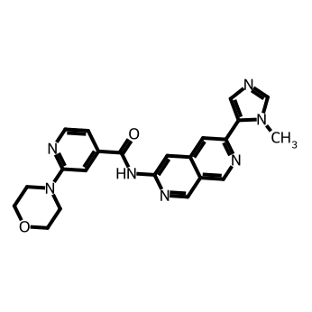 Cn1cncc1-c1cc2cc(NC(=O)c3ccnc(N4CCOCC4)c3)ncc2cn1